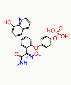 CNC(=O)/C(=N/OC)c1ccccc1Oc1ccccc1.O=S(=O)(O)O.Oc1cccc2cccnc12